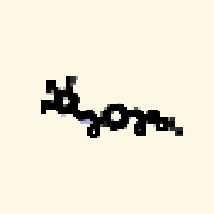 COC(=O)CC1CCN(C(=O)/C=C/c2cc(F)c(F)c(F)c2)CC1